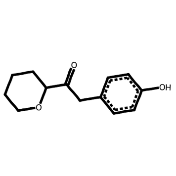 O=C(Cc1ccc(O)cc1)C1CCCCO1